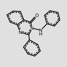 O=c1c2ccccc2nc(-c2ccccc2)n1Nc1ccccc1